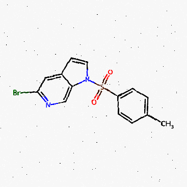 Cc1ccc(S(=O)(=O)n2ccc3cc(Br)ncc32)cc1